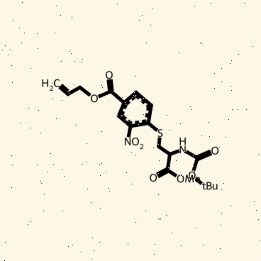 C=CCOC(=O)c1ccc(SCC(NC(=O)OC(C)(C)C)C(=O)OC)c([N+](=O)[O-])c1